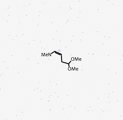 CN/C=C\CC(OC)OC